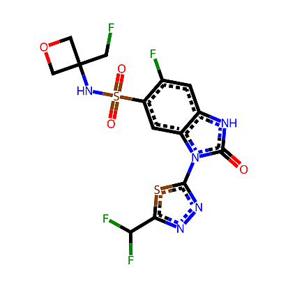 O=c1[nH]c2cc(F)c(S(=O)(=O)NC3(CF)COC3)cc2n1-c1nnc(C(F)F)s1